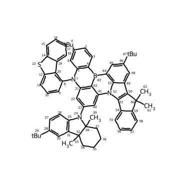 CC(C)(C)c1ccc2c(c1)N(c1cccc3sc4ccccc4c13)c1cc(N3c4ccc(C(C)(C)C)cc4C4(C)CCCCC34C)cc3c1B2c1cc(C(C)(C)C)cc2c4c(n-3c12)-c1ccccc1C4(C)C